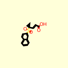 O=C(O)C=CC1(S(=O)(=O)c2ccc3ccccc3c2)CC1